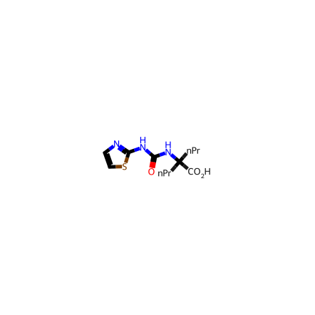 CCCC(CCC)(NC(=O)Nc1nccs1)C(=O)O